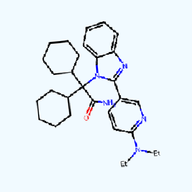 CCN(CC)c1ccc(-c2nc3ccccc3n2C(C(N)=O)(C2CCCCC2)C2CCCCC2)cn1